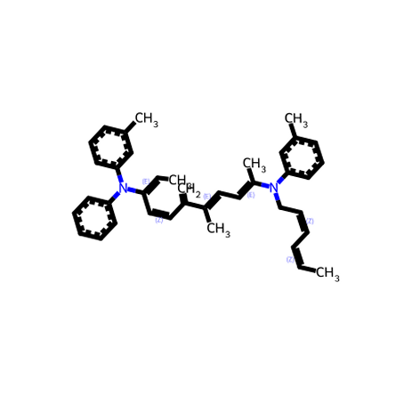 C=C(/C=C\C(=C/C)N(c1ccccc1)c1cccc(C)c1)/C(C)=C/C=C(\C)N(C/C=C\C=C/C)c1cccc(C)c1